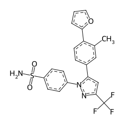 Cc1cc(-c2cc(C(F)(F)F)nn2-c2ccc(S(N)(=O)=O)cc2)ccc1-c1ccco1